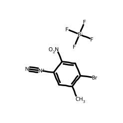 Cc1cc([N+]#N)c([N+](=O)[O-])cc1Br.F[B-](F)(F)F